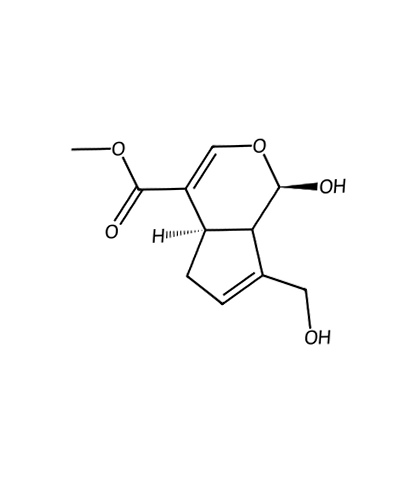 COC(=O)C1=CO[C@@H](O)C2C(CO)=CC[C@@H]12